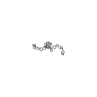 Cc1ncoc1COc1ccc2c(c1)CN(C(=O)OC(C)(C)C)[C@@](C)([C@H](O)CNC(=O)c1ccc(OC3CCN(Cc4ccncc4)CC3)cc1)C2